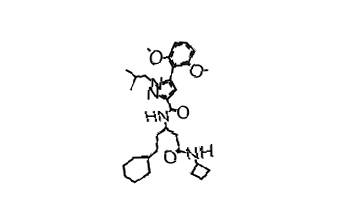 COc1cccc(OC)c1-c1cc(C(=O)NC(CCC2CCCCC2)CC(=O)NC2CCC2)nn1CC(C)C